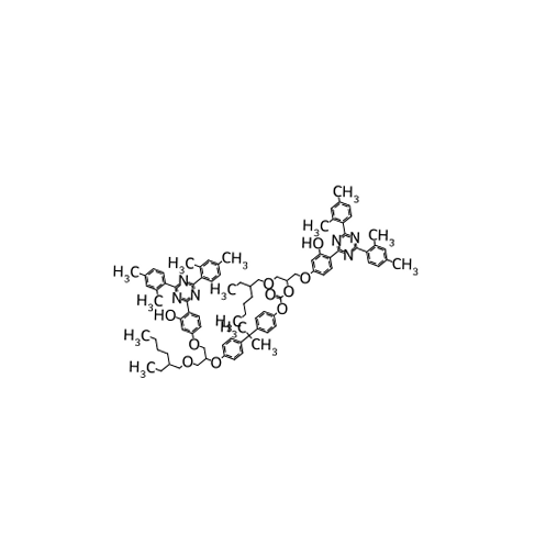 CCCCC(CC)COCC(COc1ccc(-c2nc(-c3ccc(C)cc3C)nc(-c3ccc(C)cc3C)n2)c(O)c1)OC(=O)Oc1ccc(C(C)(C)c2ccc(OC(COCC(CC)CCCC)COc3ccc(-c4nc(-c5ccc(C)cc5C)nc(-c5ccc(C)cc5C)n4)c(O)c3)cc2)cc1